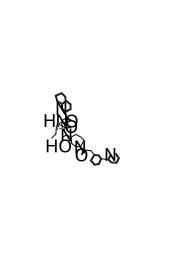 CCC[C@H](NC(=O)c1ccc2ccccc2n1)C(=O)N(C)C1CCCN(C(=O)Cc2cccc(-c3ccccn3)c2)CC1O